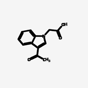 CC(=O)c1cn(CC(=O)O)c2ccccc12